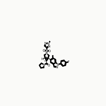 Cc1cc2c(cnn2-c2ccc(F)cc2)cc1[C@]12CN(S(=O)(=O)c3cnn(C)n3)C[C@H]1[C@@H]2C(=O)N1CCCC1